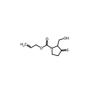 C=CCOC(=O)N1CCC(=S)C1CO